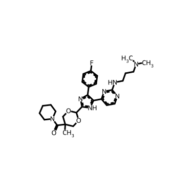 CN(C)CCCNc1nccc(-c2[nH]c(C3OCC(C)(C(=O)N4CCCCC4)CO3)nc2-c2ccc(F)cc2)n1